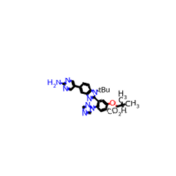 CC(C)(COc1ccc(-n2cncn2)c(-c2nc3cc(-c4cnc(N)nc4)ccc3n2C(C)(C)C)c1)C(=O)O